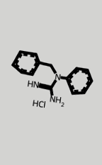 Cl.N=C(N)N(Cc1ccccc1)c1ccccc1